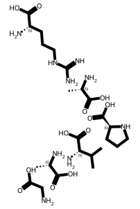 CC(C)[C@H](N)C(=O)O.C[C@H](N)C(=O)O.C[C@H](N)C(=O)O.N=C(N)NCCC[C@H](N)C(=O)O.NCC(=O)O.O=C(O)[C@@H]1CCCN1